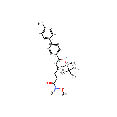 CON(C)C(=O)CCCCC(O[Si](C)(C)C(C)(C)C)c1ccc(-c2ccc(C)cc2)cc1